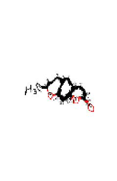 CC1CCc2cc3ccc(=O)oc3cc2O1